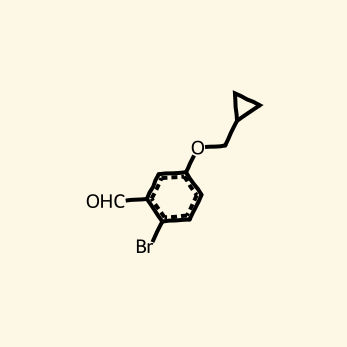 O=Cc1cc(OCC2CC2)ccc1Br